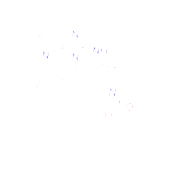 CCOC(=O)N1CCC(Nc2nc3cccnc3n2Cc2ccoc2C)CC1